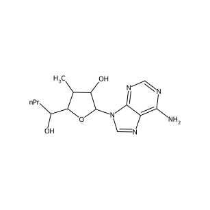 CCCC(O)C1OC(n2cnc3c(N)ncnc32)C(O)C1C